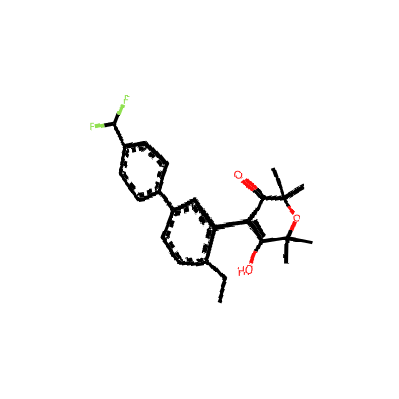 CCc1ccc(-c2ccc(C(F)F)cc2)cc1C1=C(O)C(C)(C)OC(C)(C)C1=O